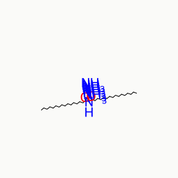 CCCCCCCCCCCCCCCC(=O)NC(=O)CCCCCCCCCCCCCCC.N.N.N.N.N.N